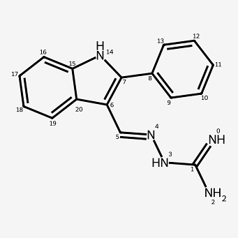 N=C(N)NN=Cc1c(-c2ccccc2)[nH]c2ccccc12